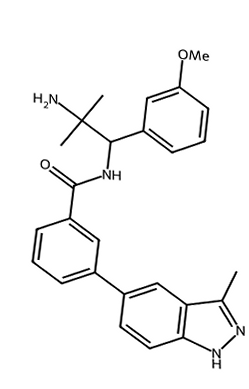 COc1cccc(C(NC(=O)c2cccc(-c3ccc4[nH]nc(C)c4c3)c2)C(C)(C)N)c1